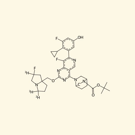 [2H]C1(F)CN2C([2H])([2H])CCC2(COc2nc(N3CC4CCC3CN4C(=O)OC(C)(C)C)c3cnc(-c4cc(O)cc(F)c4C4CC4)c(F)c3n2)C1